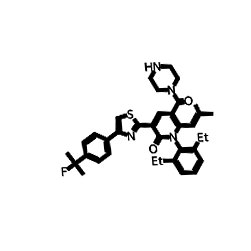 CCc1cccc(CC)c1-n1c(C=C(C)C)c(C(=O)N2CCNCC2)cc(-c2nc(-c3ccc(C(C)(C)F)cc3)cs2)c1=O